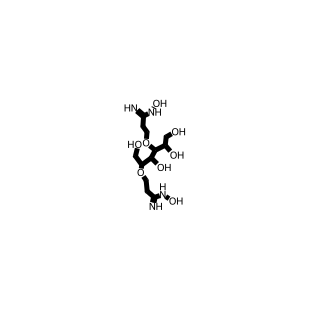 N=C(CCOC(CO)C(O)C(OCCC(=N)NO)C(O)CO)NO